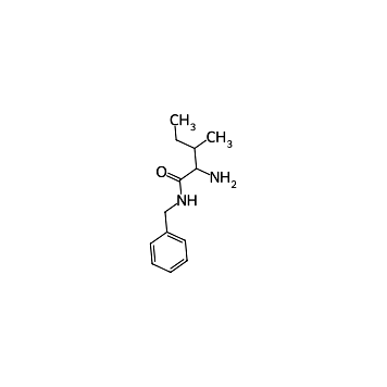 CCC(C)C(N)C(=O)NCc1ccccc1